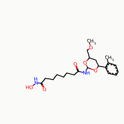 COCC1CC(c2ccccc2C)OC(NC(=O)CCCCCCC(=O)NO)O1